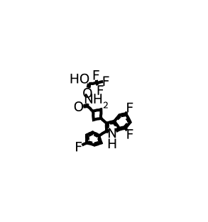 NC(=O)C1CC(c2c(-c3ccc(F)cc3)[nH]c3c(F)cc(F)cc23)C1.O=C(O)C(F)(F)F